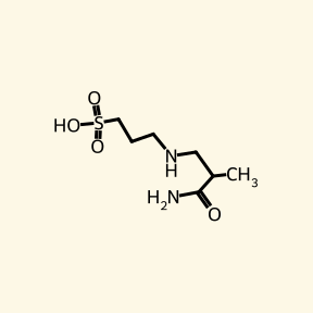 CC(CNCCCS(=O)(=O)O)C(N)=O